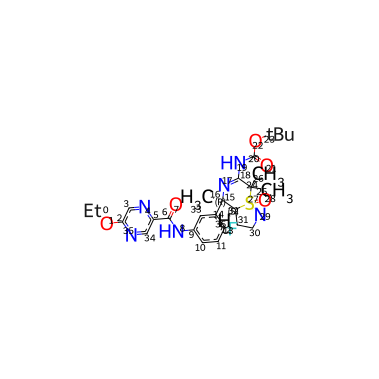 CCOc1cnc(C(=O)Nc2ccc(F)c([C@@]3(C)N=C(NC(=O)OC(C)(C)C)C(C)(C)S4(=O)=NCC[C@@H]34)c2)cn1